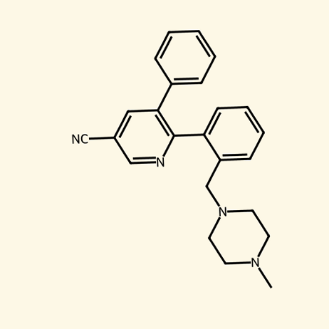 CN1CCN(Cc2ccccc2-c2ncc(C#N)cc2-c2ccccc2)CC1